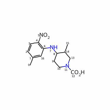 Cc1ccc([N+](=O)[O-])c(NC2CCN(C(=O)O)CC2C)c1